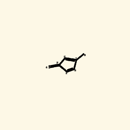 CC1=CC(=S)C=C1